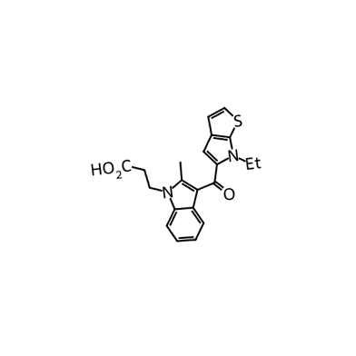 CCn1c(C(=O)c2c(C)n(CCC(=O)O)c3ccccc23)cc2ccsc21